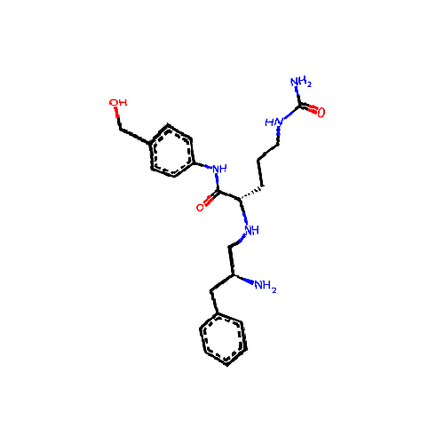 NC(=O)NCCC[C@H](NC[C@@H](N)Cc1ccccc1)C(=O)Nc1ccc(CO)cc1